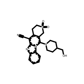 N#Cc1c2c(c(N3CCC(CO)CC3)n3c1nc1ccccc13)CS(=O)(=O)CC2